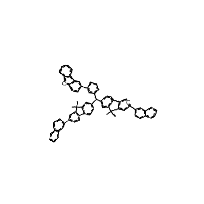 CC1(C)c2cc(-c3ccc4ccccc4c3)ccc2-c2ccc(C(c3cccc(-c4ccc5oc6ccccc6c5c4)c3)c3ccc4c(c3)C(C)(C)c3cc(-c5ccc6ccccc6c5)ccc3-4)cc21